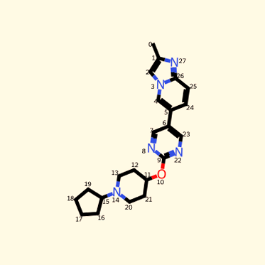 Cc1cn2cc(-c3cnc(OC4CCN(C5CCCC5)CC4)nc3)ccc2n1